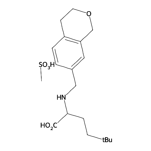 CC(C)(C)CCC(NCc1ccc2c(c1)COCC2)C(=O)O.CS(=O)(=O)O